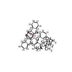 CC(C)(C)[Si]1(C(C)(C)C)c2cccc(-n3c4ccccc4c4ccccc43)c2Oc2c(-n3c4ccccc4c4ccccc43)cccc21